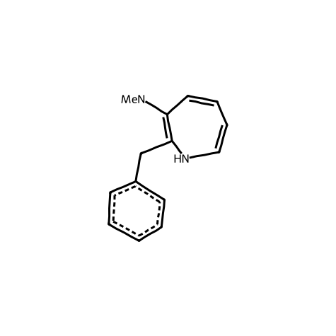 CNC1=C(Cc2ccccc2)NC=CC=C1